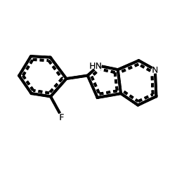 Fc1ccccc1-c1cc2ccncc2[nH]1